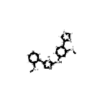 COc1cc(Nc2ncc(-c3ccccc3OC)o2)ccc1-c1cnco1